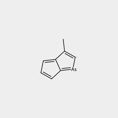 CC1=[C][As]=C2C=CC=C12